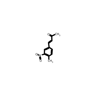 CC(=O)C=Cc1ccc(C)c([N+](=O)[O-])c1